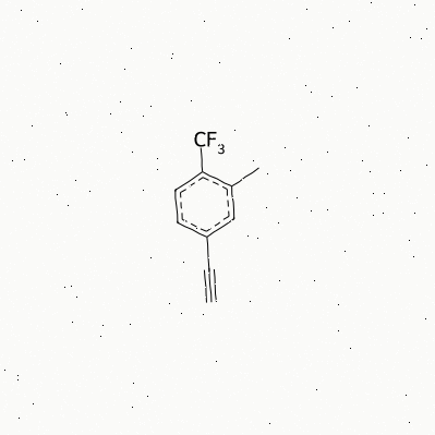 C#Cc1ccc(C(F)(F)F)c(C)c1